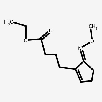 CCOC(=O)CCCC1=CCCC1=NOC